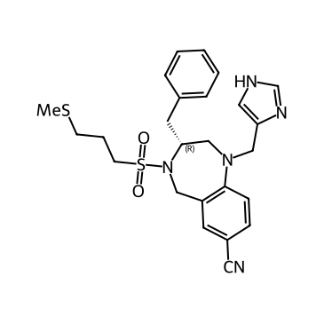 CSCCCS(=O)(=O)N1Cc2cc(C#N)ccc2N(Cc2c[nH]cn2)C[C@H]1Cc1ccccc1